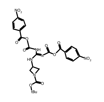 CC(C)(C)OC(=O)N1CC(NC(=NC(=O)OC(=O)c2ccc([N+](=O)[O-])cc2)NC(=O)OC(=O)c2ccc([N+](=O)[O-])cc2)C1